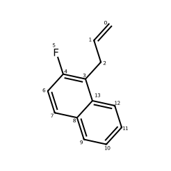 C=CCc1c(F)ccc2ccccc12